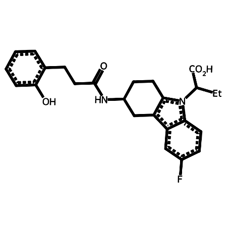 CCC(C(=O)O)n1c2c(c3cc(F)ccc31)CC(NC(=O)CCc1ccccc1O)CC2